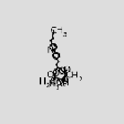 C=C(COC)C(=O)OCC(CCc1ccc(-c2ccc(CCCCC)cn2)cc1)COC(=O)C(C)CO